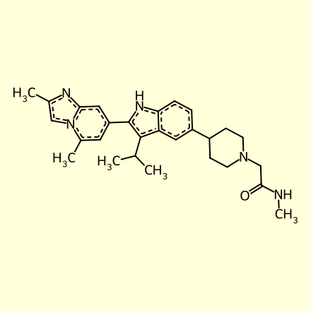 CNC(=O)CN1CCC(c2ccc3[nH]c(-c4cc(C)n5cc(C)nc5c4)c(C(C)C)c3c2)CC1